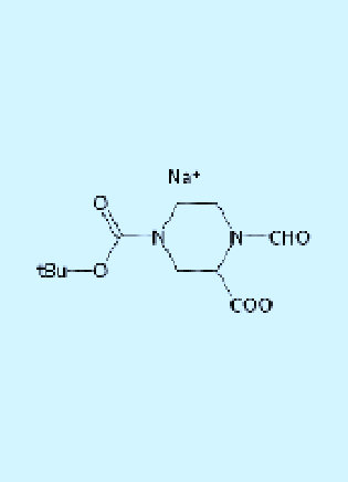 CC(C)(C)OC(=O)N1CCN(C=O)C(C(=O)[O-])C1.[Na+]